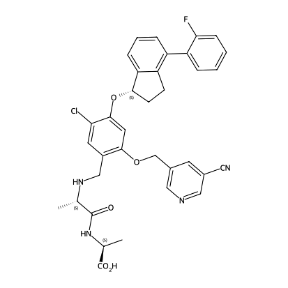 C[C@H](NC(=O)[C@H](C)NCc1cc(Cl)c(O[C@H]2CCc3c(-c4ccccc4F)cccc32)cc1OCc1cncc(C#N)c1)C(=O)O